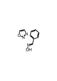 ON=Cc1ccccc1.c1conn1